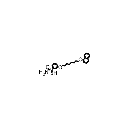 NC(=O)N(S)c1cccc(OCCCCCCCCOc2cccc3ccccc23)c1